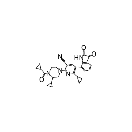 N#Cc1cc(-c2cccc3c2NC(=O)C3=O)c(C2CC2)nc1N1CCN(C(=O)C2CC2)C(C2CC2)C1